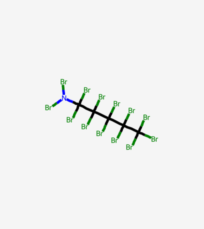 BrN(Br)C(Br)(Br)C(Br)(Br)C(Br)(Br)C(Br)(Br)C(Br)(Br)Br